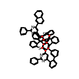 c1ccc(-c2nc(-c3ccccc3-c3cccc(-c4cccc5c4-c4ccccc4C54c5ccccc5Sc5c(-c6cc(-c7ccc8ccccc8c7)nc(-c7ccccc7)n6)cccc54)c3)cc(-c3cccc4c3Sc3ccccc3C43c4ccccc4-c4ccccc43)n2)cc1